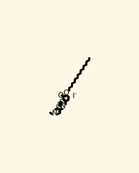 CCCCCCCCCCCCCCCCOc1ccc(CN(Cc2cc[n+](CC)cc2)S(C)(=O)=O)cc1OC.[I-]